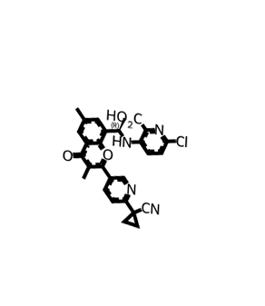 Cc1cc([C@@H](C)Nc2ccc(Cl)nc2C(=O)O)c2oc(-c3ccc(C4(C#N)CC4)nc3)c(C)c(=O)c2c1